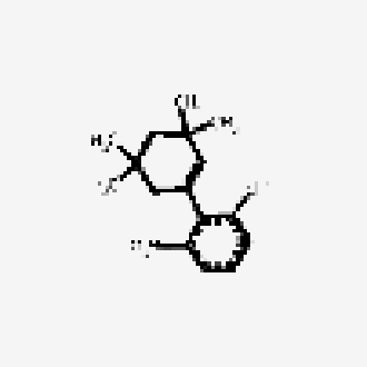 Cc1cccc([N+](=O)[O-])c1C1=CC(C)(C)CC(C)(C)C1